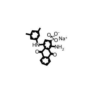 Cc1cc(C)cc(Nc2cc(S(=O)(=O)[O-])c(N)c3c2C(=O)c2ccccc2C3=O)c1.[Na+]